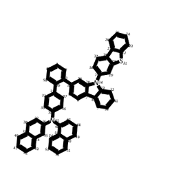 c1ccc(-c2ccc3c4ccccc4n(-c4ccc5c(c4)sc4ccccc45)c3c2)c(-c2ccc(N(c3ccc4ccccc4c3)c3cccc4ccccc34)cc2)c1